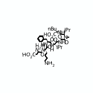 CCCC[C@H](NC(=O)[C@H](CC(C)C)N(C)C(=O)CNC(=O)[C@@H](NC(=O)[C@H](Cc1ccccc1)NC(=O)[C@H](CCCCN)NC(=O)[C@@H](N)CC(=O)O)C(C)C)C(=O)O